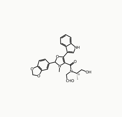 C[C@@H](CO)N(CC=O)C(=O)C1=C(c2c[nH]c3ccccc23)OC(c2ccc3c(c2)OCO3)N1C